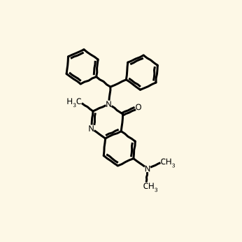 Cc1nc2ccc(N(C)C)cc2c(=O)n1C(c1ccccc1)c1ccccc1